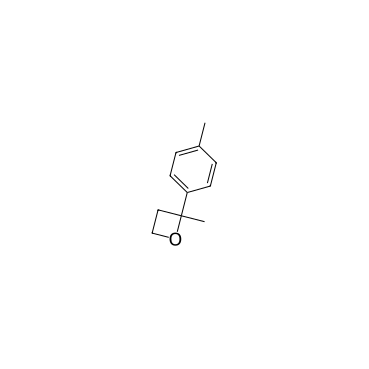 Cc1ccc(C2(C)CCO2)cc1